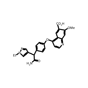 CCn1cc(C(C(N)=O)c2ccc(Oc3ccnc4cc(OC)c(C(=O)O)cc34)cc2)cn1